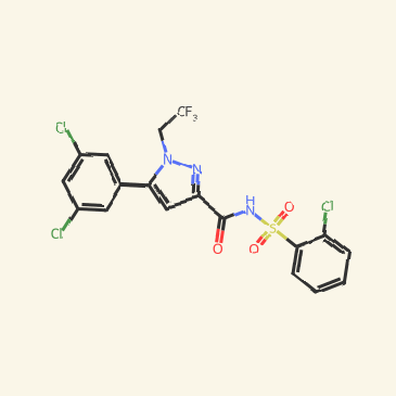 O=C(NS(=O)(=O)c1ccccc1Cl)c1cc(-c2cc(Cl)cc(Cl)c2)n(CC(F)(F)F)n1